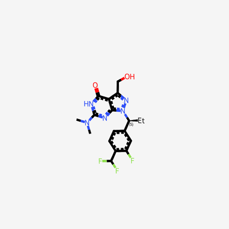 CC[C@@H](c1ccc(C(F)F)c(F)c1)n1nc(CO)c2c(=O)[nH]c(N(C)C)nc21